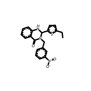 CCc1ccc(C2Nc3ccccc3C(=O)N2Cc2cccc([N+](=O)[O-])c2)s1